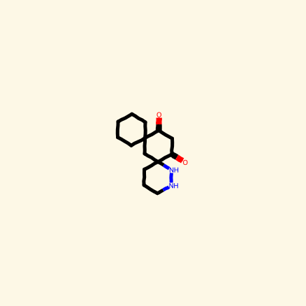 O=C1CC(=O)C2(CCCNN2)CC12CCCCC2